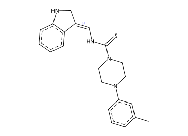 Cc1cccc(N2CCN(C(=S)N/C=C3/CNc4ccccc43)CC2)c1